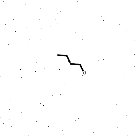 [CH2]C[CH]CCl